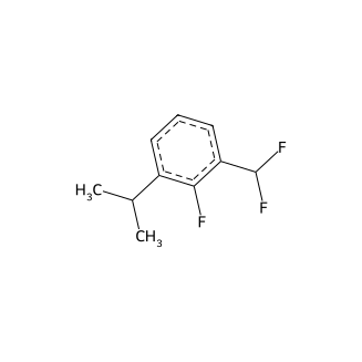 CC(C)c1cccc(C(F)F)c1F